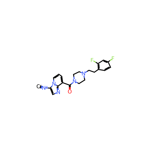 [C-]#[N+]c1cnc2c(C(=O)N3CCN(CCc4ccc(F)cc4F)CC3)cccn12